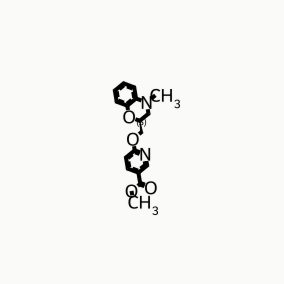 COC(=O)c1ccc(OC[C@@H]2CN(C)c3ccccc3O2)nc1